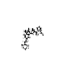 N#C[C@@H]1CCCN1C(=O)C(N)Cc1c[nH]c2ccc(OCC3CCCCC3)cc12